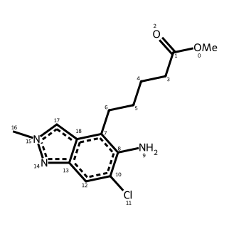 COC(=O)CCCCc1c(N)c(Cl)cc2nn(C)cc12